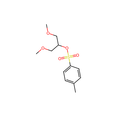 COCC(COC)OS(=O)(=O)c1ccc(C)cc1